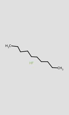 CCCCCCCCCC.F